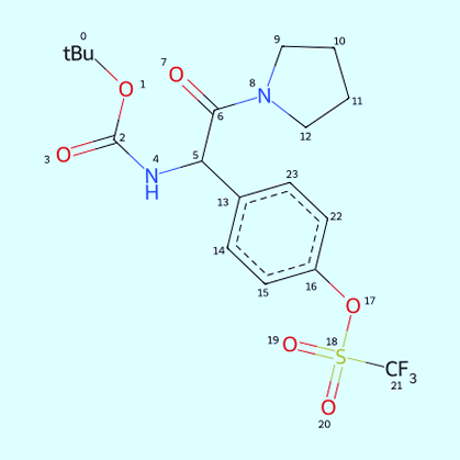 CC(C)(C)OC(=O)NC(C(=O)N1CCCC1)c1ccc(OS(=O)(=O)C(F)(F)F)cc1